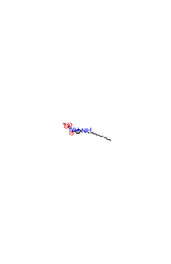 CCCCCCCCCC/C=C/CCCNc1ccc(C(=O)NCC(=O)OCC)cc1